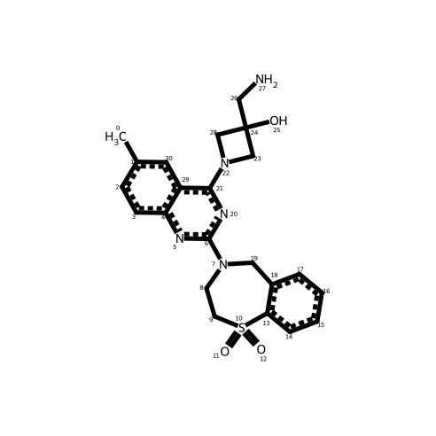 Cc1ccc2nc(N3CCS(=O)(=O)c4ccccc4C3)nc(N3CC(O)(CN)C3)c2c1